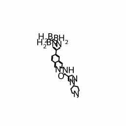 BC(B)(B)n1cc(-c2ccc3cnc(NC(=O)c4cnn(C5CCN(C)CC5)c4)cc3c2)cn1